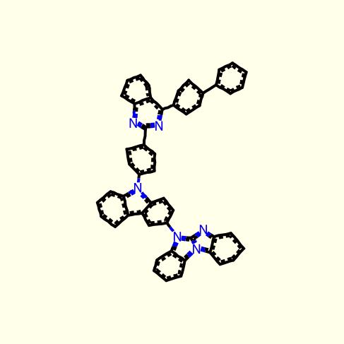 c1ccc(-c2ccc(-c3nc(-c4ccc(-n5c6ccccc6c6cc(-n7c8ccccc8n8c9ccccc9nc78)ccc65)cc4)nc4ccccc34)cc2)cc1